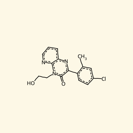 Cc1cc(Cl)ccc1-c1nc2cccnc2n(CCO)c1=O